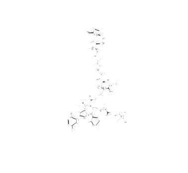 CC(C)(C)C(c1cc(-c2cc(F)ccc2F)cn1Cc1ccccc1)N(CCCNC(=O)OCC[Si](C)(C)C)C(=O)CSCC(NC(=O)CCOCCOCCNC(=O)CN1C(=O)C=CC1=O)C(=O)O